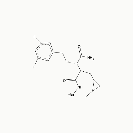 CC1CC1CC(C(=O)NC(C)(C)C)[C@H](CCc1cc(F)cc(F)c1)C(N)=O